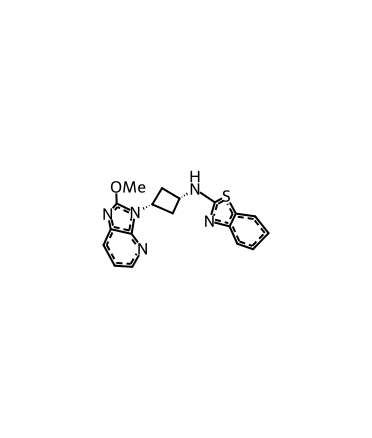 COc1nc2cccnc2n1[C@H]1C[C@@H](Nc2nc3ccccc3s2)C1